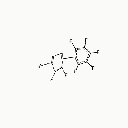 FC1=CC=C(c2c(F)c(F)c(F)c(F)c2F)C(F)C1F